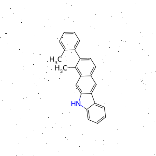 Cc1ccccc1-c1ccc2cc3c(cc2c1C)[nH]c1ccccc13